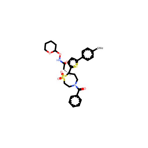 CSc1ccc(-c2ccc([C@@]3(CC(=O)NOC4CCCCO4)CCN(C(=O)c4ccccc4)CCS3(=O)=O)s2)cc1